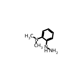 CN(C)c1ccccc1NN